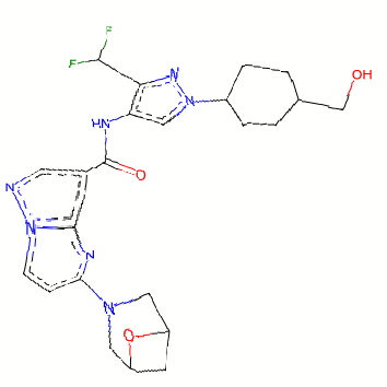 O=C(Nc1cn(C2CCC(CO)CC2)nc1C(F)F)c1cnn2ccc(N3CC4CC(C3)O4)nc12